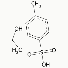 CCO.Cc1ccc(S(=O)(=O)O)cc1